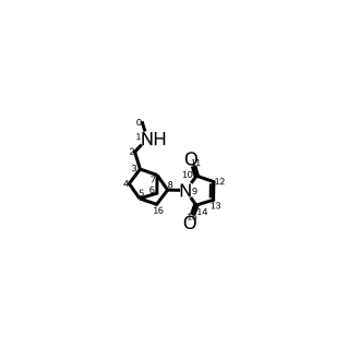 CNCC1CC2CC1C(N1C(=O)C=CC1=O)C2